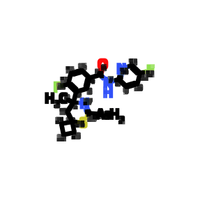 CC1(c2cc(C(=O)Nc3ccc(F)cn3)ccc2F)CC2(CCC2)SC([AsH2])=N1